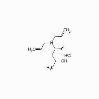 C=CCN(CC=C)C(Cl)CC(C)O.Cl